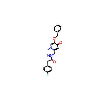 Cn1cc(OCc2ccccc2)c(=O)cc1CNC(=O)Cc1ccc(F)cc1